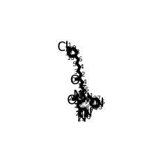 O=C(CCCCCc1ccc(Cl)cc1)CCSc1nc(=O)c(Cc2cncnc2)cn1Cc1cccnc1